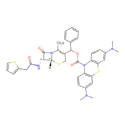 CN(C)c1ccc2c(c1)Sc1cc(N(C)C)ccc1N2C(=O)OC(C1=C(C(=O)O)N2C(=O)[C@@H](NC(=O)Cc3cccs3)[C@H]2SC1)c1ccccc1